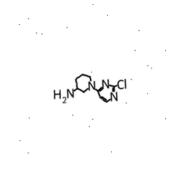 NC1CCCN(c2ccnc(Cl)n2)C1